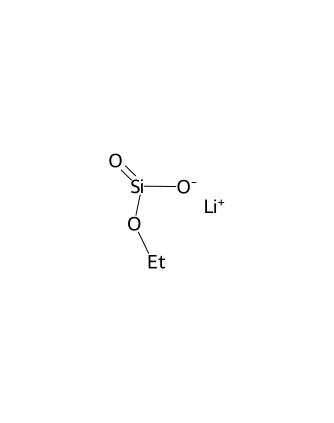 CCO[Si](=O)[O-].[Li+]